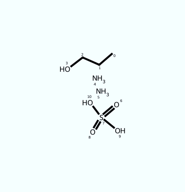 CCCO.N.N.O=S(=O)(O)O